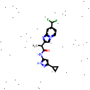 CC(C(=O)Nc1cc(C2CC2)n[nH]1)c1cn2ccc(C(F)F)cc2n1